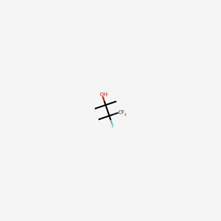 CC(C)(O)C(C)(F)C(F)(F)F